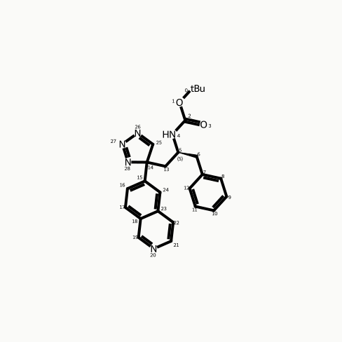 CC(C)(C)OC(=O)N[C@@H](Cc1ccccc1)CC1(c2ccc3cnccc3c2)C=NN=N1